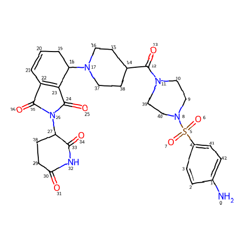 Nc1ccc(S(=O)(=O)N2CCN(C(=O)C3CCN(C4CC=CC5=C4C(=O)N(C4CCC(=O)NC4=O)C5=O)CC3)CC2)cc1